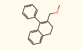 COCC1=C(c2ccccc2)c2ccccc2CC1